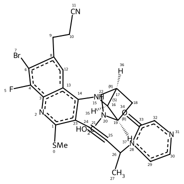 CSc1nc2c(F)c(Br)c(CCC#N)cc2c(N[C@H]2[C@@H]3C[C@H]2N(C(=O)O)C3)c1C#CC(C)n1ccncc1=O